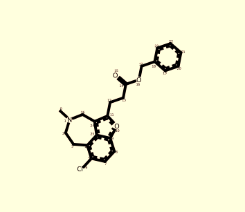 CN1CCc2c(Cl)ccc3oc(CCC(=O)OCc4ccccc4)c(c23)C1